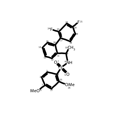 COc1ccc(S(=O)(=O)NC(C)c2ccccc2-c2ccc(F)cc2F)c(OC)c1